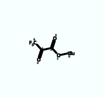 CC(C)(C)OC(=O)C(=O)C(F)(F)F